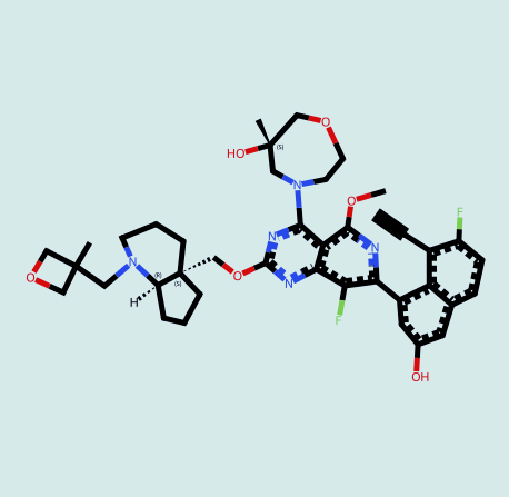 C#Cc1c(F)ccc2cc(O)cc(-c3nc(OC)c4c(N5CCOC[C@@](C)(O)C5)nc(OC[C@]56CCC[C@H]5N(CC5(C)COC5)CCC6)nc4c3F)c12